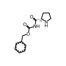 O=C(NC(=O)[C@@H]1CCCN1)OCc1ccccc1